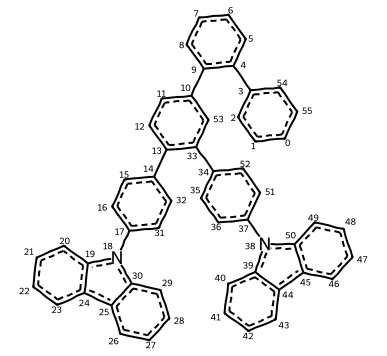 c1ccc(-c2ccccc2-c2ccc(-c3ccc(-n4c5ccccc5c5ccccc54)cc3)c(-c3ccc(-n4c5ccccc5c5ccccc54)cc3)c2)cc1